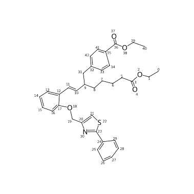 CCOC(=O)CCCCC(/C=C/c1ccccc1OCc1csc(-c2ccccc2)n1)Cc1ccc(C(=O)OCC)cc1